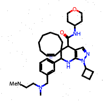 CNCCN(C)Cc1cccc(C2Nc3c(cnn3C3CCC3)C(C(=O)NC3CCOCC3)C23/C=C\CCCCCC3)c1